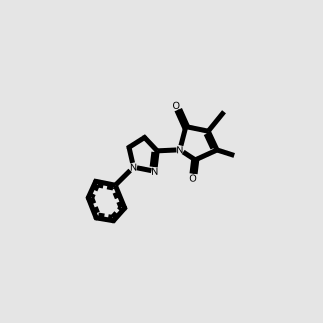 CC1=C(C)C(=O)N(C2=NN(c3ccccc3)CC2)C1=O